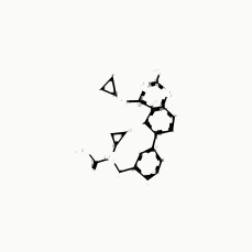 CCCCC(=O)N(Cc1cccc(-c2ccc3nc(C)nc(NC4CC4)c3c2)c1)C1CC1